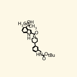 CC(C)(C)OC(=O)NCc1cccc(C2CCN(C(=O)c3cc4c([Si](C)(C)O)cccc4[nH]3)CC2)c1